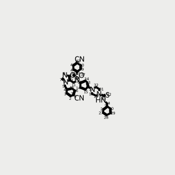 N#Cc1ccc(Cn2cncc2CN(c2ccc(N3CCN(C(=S)NCc4ccccc4)CC3)cc2)S(=O)(=O)c2ccc(C#N)cc2)cc1